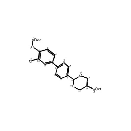 CCCCCCCCCCOc1ccc(-c2ccc(C3OCC(CCCCCCCC)CO3)cn2)cc1Cl